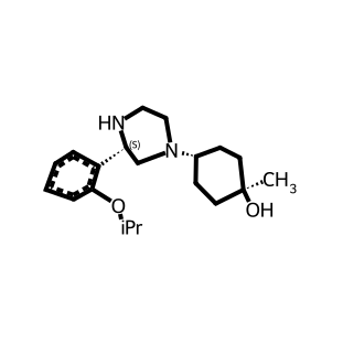 CC(C)Oc1ccccc1[C@H]1CN([C@H]2CC[C@](C)(O)CC2)CCN1